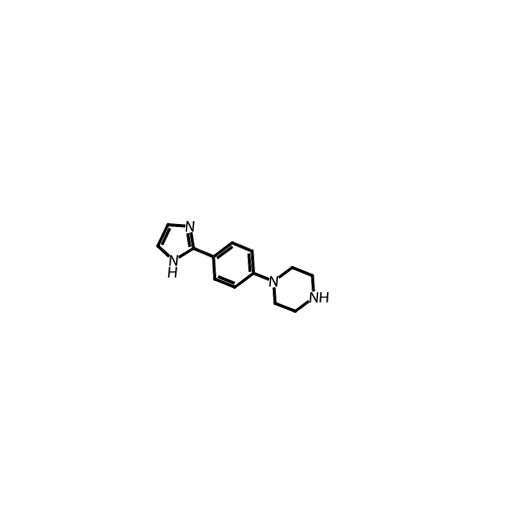 c1c[nH]c(-c2ccc(N3CCNCC3)cc2)n1